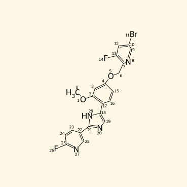 COc1cc(OCc2ncc(Br)cc2F)ccc1-c1cnc(-c2ccc(F)nc2)[nH]1